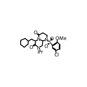 COc1ccc(Cl)cc1S(=O)(=O)N1CCC(=O)N2C(CC3CCCCC3)C(=O)N(C(C)C)CC21